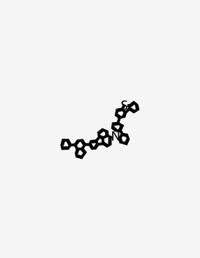 c1ccc(-c2ccc(-c3ccc4c(c3)-c3cccc5c(-n6c7ccccc7c7cc(-c8ccc9sc%10ccccc%10c9c8)ccc76)ccc-4c35)c3ccccc23)cc1